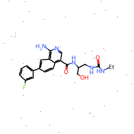 CCNC(=O)NCC(CO)NC(=O)c1cnc(N)c2cc(-c3cccc(F)c3)ccc12